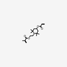 C=CC(=O)OC1CC(C)(C)N(CCOC(=O)C(=C)C)C(C)(C)C1